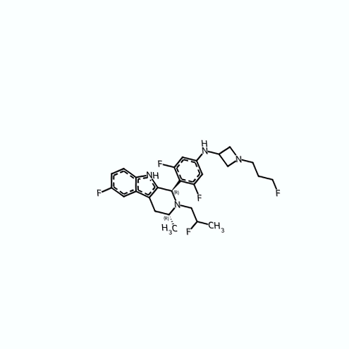 CC(F)CN1[C@H](c2c(F)cc(NC3CN(CCCF)C3)cc2F)c2[nH]c3ccc(F)cc3c2C[C@H]1C